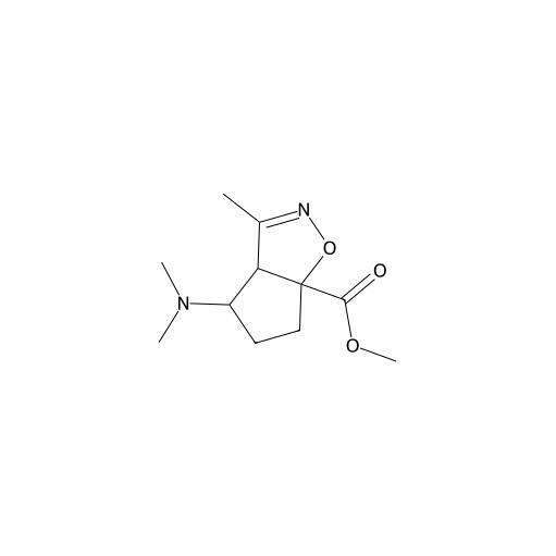 COC(=O)C12CCC(N(C)C)C1C(C)=NO2